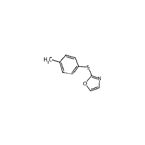 Cc1ccc(Sc2ncco2)cc1